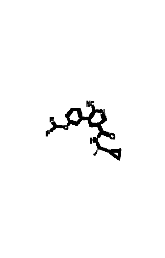 C[C@H](NC(=O)c1cnc(C#N)c(-c2cccc(OC(F)F)c2)c1)C1CC1